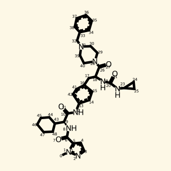 Cn1nccc1C(=O)N[C@H](C(=O)Nc1ccc(CC(NC(=O)NC2CC2)C(=O)N2CCN(Cc3ccccc3)CC2)cc1)C1CCCCC1